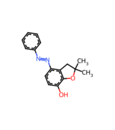 CC1(C)Cc2c(N=Nc3ccccc3)ccc(O)c2O1